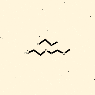 CCCO.COCCOCCO